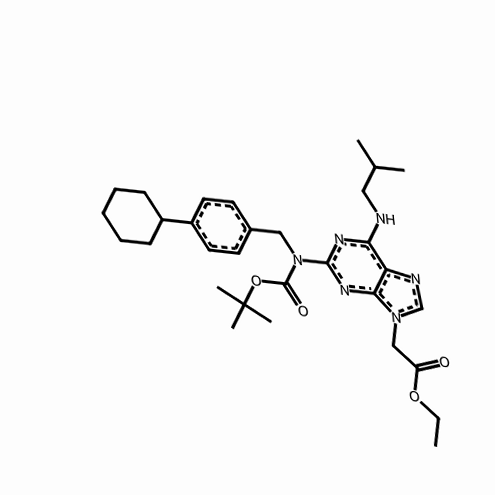 CCOC(=O)Cn1cnc2c(NCC(C)C)nc(N(Cc3ccc(C4CCCCC4)cc3)C(=O)OC(C)(C)C)nc21